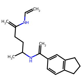 C=CNC(=C)CCC(C)NC(=C)c1ccc2c(c1)CCC2